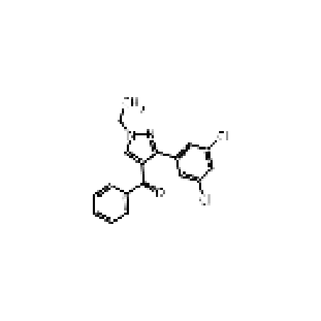 CCn1cc(C(=O)c2ccccc2)c(-c2cc(Cl)cc(Cl)c2)n1